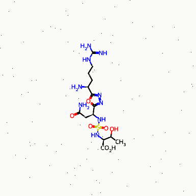 CC(O)[C@H](NS(=O)(=O)N[C@@H](CC(N)=O)c1nnc([C@@H](N)CCCNC(=N)N)o1)C(=O)O